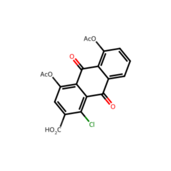 CC(=O)Oc1cccc2c1C(=O)c1c(OC(C)=O)cc(C(=O)O)c(Cl)c1C2=O